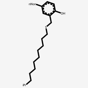 CCCCCCCCCc1ccc(O)c(CSCCCCCCCCCC(C)C)c1